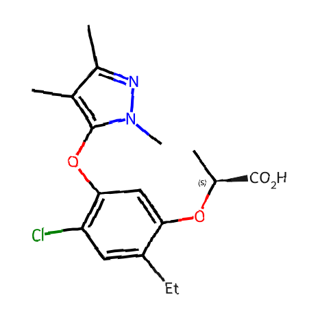 CCc1cc(Cl)c(Oc2c(C)c(C)nn2C)cc1O[C@@H](C)C(=O)O